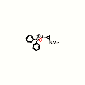 CN[C@@H]1C[C@@H]1CO[Si](c1ccccc1)(c1ccccc1)C(C)(C)C